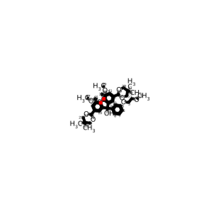 COCCOc1cccc(C(O)(c2cc(C3OCC(C)(C)CO3)ccc2OCOC)c2cc(C3OCC(C)(C)CO3)ccc2OCOC)c1